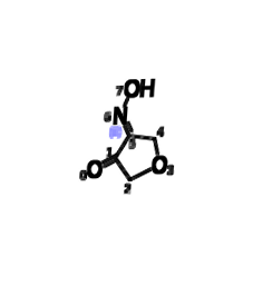 O=C1COC/C1=N\O